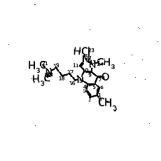 Cc1ccc2c(c1)c(=O)c1c(cnn1C)n2CCCCN(C)C.Cl